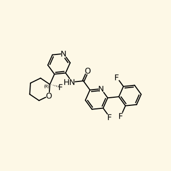 O=C(Nc1cnccc1[C@]1(F)CCCCO1)c1ccc(F)c(-c2c(F)cccc2F)n1